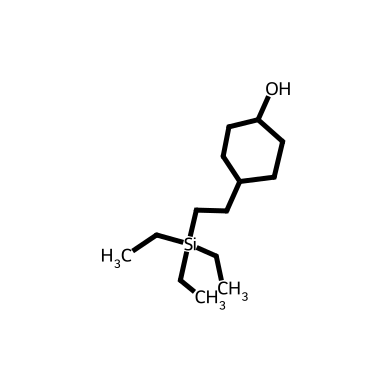 CC[Si](CC)(CC)CCC1CCC(O)CC1